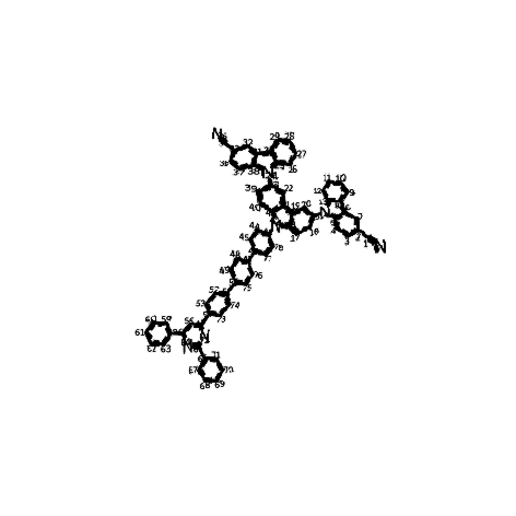 N#Cc1ccc2c(c1)c1ccccc1n2-c1ccc2c(c1)c1cc(-n3c4ccccc4c4cc(C#N)ccc43)ccc1n2-c1ccc(-c2ccc(-c3ccc(-c4cc(-c5ccccc5)nc(-c5ccccc5)n4)cc3)cc2)cc1